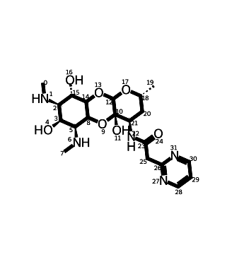 CN[C@@H]1[C@H](O)[C@H](NC)C2O[C@]3(O)C(OC2[C@H]1O)O[C@H](C)C[C@H]3NC(=O)Cc1ncccn1